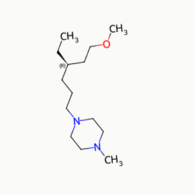 CC[C@H](CCCN1CCN(C)CC1)CCOC